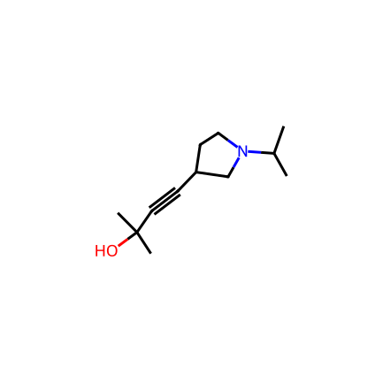 CC(C)N1CCC(C#CC(C)(C)O)C1